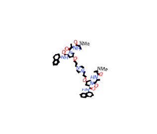 CNC(C)C(=O)NC(C)C(=O)N1C[C@@H](OCCCN2CCN(CCCO[C@H]3C[C@@H](C(=O)N[C@@H]4CCCc5ccccc54)N(C(=O)C(C)NC(=O)C(C)NC)C3)CC2)C[C@H]1C(=O)N[C@@H]1CCCc2ccccc21